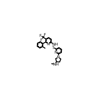 CNC1CCN(c2cccc(SNc3ccc(C(F)(F)F)c(-c4ccccc4C)n3)n2)C1